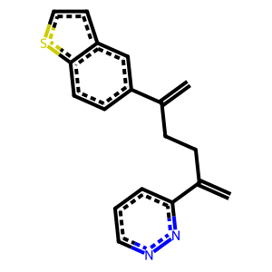 C=C(CCC(=C)c1cccnn1)c1ccc2sccc2c1